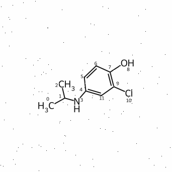 CC(C)Nc1ccc(O)c(Cl)c1